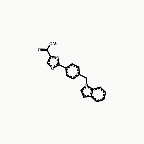 COC(=O)c1coc(-c2ccc(Cn3ccc4ccccc43)cc2)n1